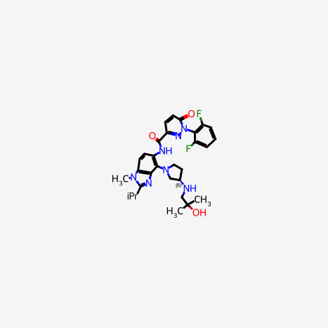 CC(C)c1nc2c(N3CC[C@@H](NCC(C)(C)O)C3)c(NC(=O)c3ccc(=O)n(-c4c(F)cccc4F)n3)ccc2n1C